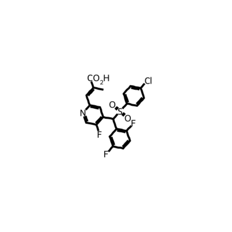 CC(=Cc1cc(C(c2cc(F)ccc2F)S(=O)(=O)c2ccc(Cl)cc2)c(F)cn1)C(=O)O